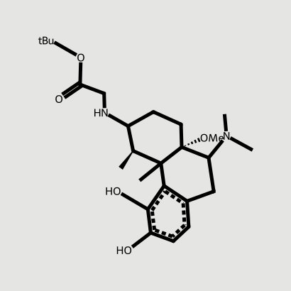 CO[C@@]12CCC(NCC(=O)OC(C)(C)C)[C@H](C)C1(C)c1c(ccc(O)c1O)CC2N(C)C